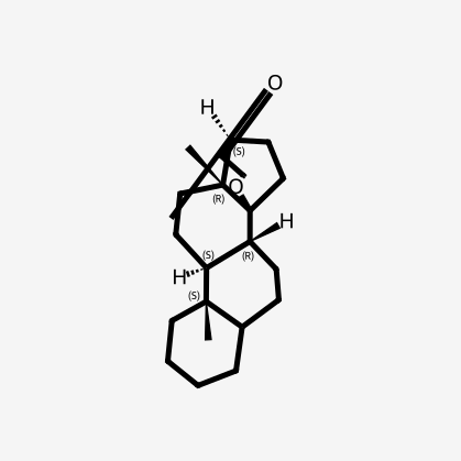 C[C@]12CCCCC1CC[C@@H]1[C@@H]2CC[C@]2(C)[C@@H]3CCC12OCC3=O